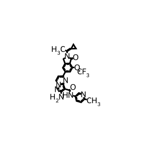 CC(=C1CC1)N1Cc2cc(-c3ccn4nc(N)c(C(=O)Nc5ccc(C)nc5)c4n3)cc(OC(F)(F)F)c2C1=O